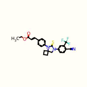 CCOC(=O)/C=C/c1ccc(N2C(=S)N(c3ccc(C#N)c(C(F)(F)F)c3)CC23CCC3)cc1